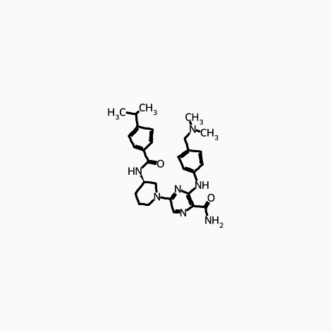 CC(C)c1ccc(C(=O)N[C@@H]2CCCN(c3cnc(C(N)=O)c(Nc4ccc(CN(C)C)cc4)n3)C2)cc1